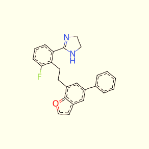 Fc1cccc(C2=NCCN2)c1CCc1cc(-c2ccccc2)cc2ccoc12